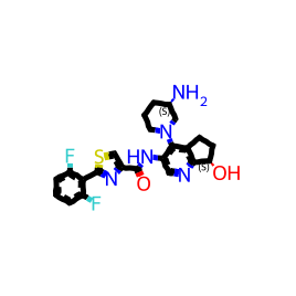 N[C@H]1CCCN(c2c(NC(=O)c3csc(-c4c(F)cccc4F)n3)cnc3c2CC[C@@H]3O)C1